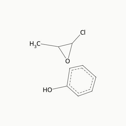 CC1OC1Cl.Oc1ccccc1